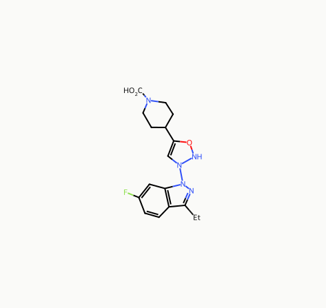 CCc1nn(N2C=C(C3CCN(C(=O)O)CC3)ON2)c2cc(F)ccc12